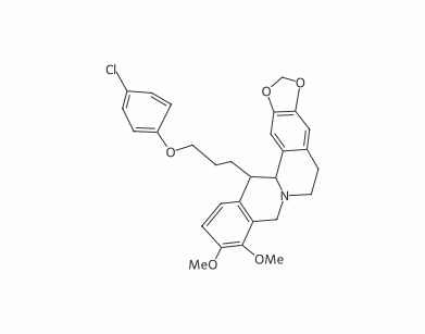 COc1ccc2c(c1OC)CN1CCc3cc4c(cc3C1C2CCCOc1ccc(Cl)cc1)OCO4